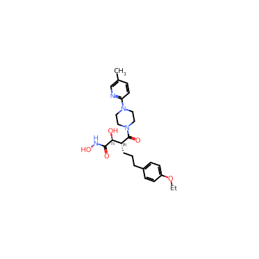 CCOc1ccc(CCC[C@@H](C(=O)N2CCN(c3ccc(C)cn3)CC2)[C@H](O)C(=O)NO)cc1